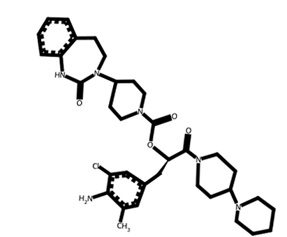 Cc1cc(C[C@@H](OC(=O)N2CCC(N3CCc4ccccc4NC3=O)CC2)C(=O)N2CCC(N3CCCCC3)CC2)cc(Cl)c1N